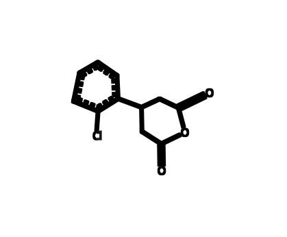 O=C1CC(c2ccccc2Cl)CC(=O)O1